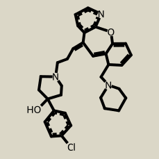 OC1(c2ccc(Cl)cc2)CCN(CCC=C2C=C3C(=CC=CC3CN3CCCCC3)Oc3ncccc32)CC1